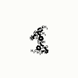 CC(C)n1nccc1C(=O)N=CC(C(=O)Nc1ccc([C@H](C)[C@@H](NC(=O)c2cnns2)C(=O)N2CCN(C)CC2)cc1F)[C@H]1CC[C@H](C)CC1